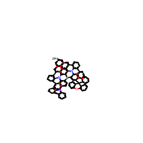 CC(C)(C)c1ccc(-c2cc3c4c(c2)N(c2c(-c5ccccc5)cccc2-c2ccccc2)c2cc5c(cc2B4c2ccc(-n4c6ccccc6c6ccccc64)cc2N3c2c(-c3ccccc3)cccc2-c2ccccc2)C2(c3ccccc3Oc3ccccc32)c2ccccc2-5)cc1